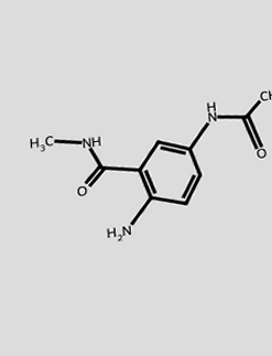 CNC(=O)c1cc(NC(C)=O)ccc1N